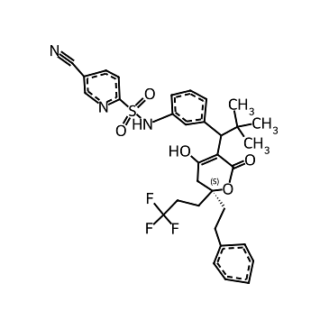 CC(C)(C)C(C1=C(O)C[C@](CCc2ccccc2)(CCC(F)(F)F)OC1=O)c1cccc(NS(=O)(=O)c2ccc(C#N)cn2)c1